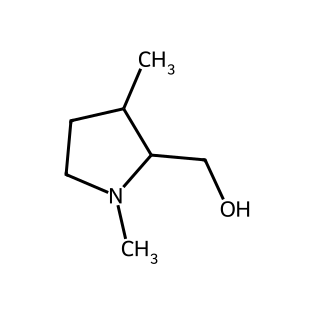 CC1CCN(C)C1CO